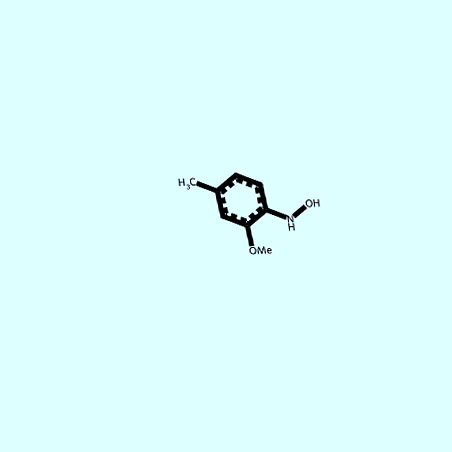 COc1cc(C)ccc1NO